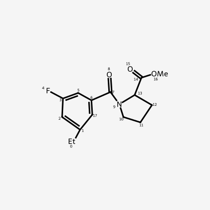 CCc1cc(F)cc(C(=O)N2CCCC2C(=O)OC)c1